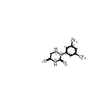 O=C1CNN(c2cc(C(F)(F)F)cc(C(F)(F)F)c2)C(=O)N1